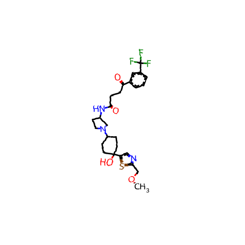 COCc1ncc(C2(O)CCC(N3CCC(NC(=O)CCC(=O)c4cccc(C(F)(F)F)c4)C3)CC2)s1